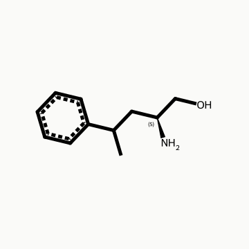 CC(C[C@H](N)CO)c1ccccc1